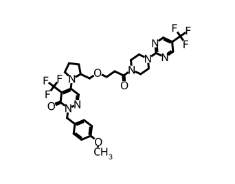 COc1ccc(Cn2ncc(N3CCCC3COCCC(=O)N3CCN(c4ncc(C(F)(F)F)cn4)CC3)c(C(F)(F)F)c2=O)cc1